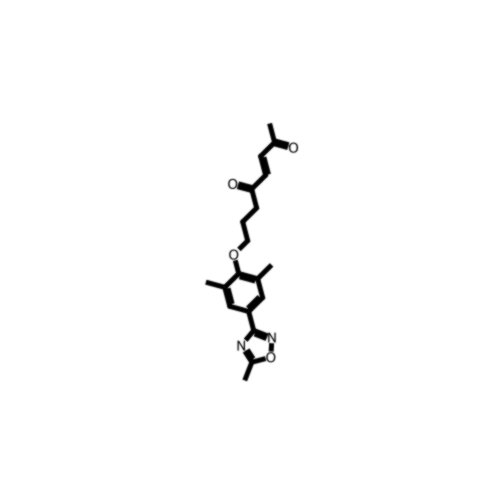 CC(=O)C=CC(=O)CCCOc1c(C)cc(-c2noc(C)n2)cc1C